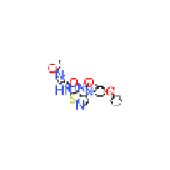 C=CC(=O)N1CC[C@H](C(=O)Nc2sc3nccc4c3c2NC(=O)N4c2ccc(Oc3ccccc3)cc2C)C1